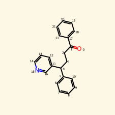 O=C(CCC(c1ccccc1)c1cccnc1)c1ccccc1